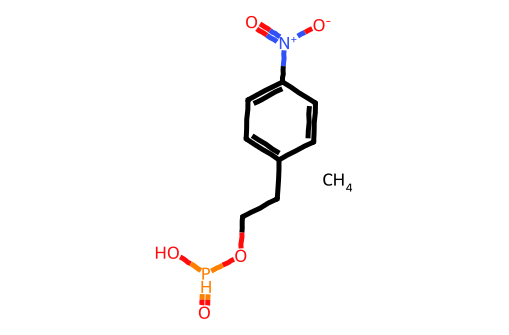 C.O=[N+]([O-])c1ccc(CCO[PH](=O)O)cc1